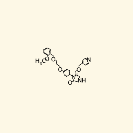 COc1ccccc1COCCCOc1ccc(N2C(=O)CNC[C@@H]2COCc2ccncc2)cc1